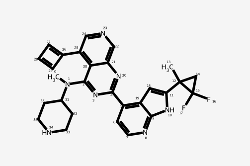 CN(c1nc(-c2ccnc3[nH]c(C4(C)CC4(F)F)cc23)nc2cncc(C3=CC=C3)c12)C1CCNCC1